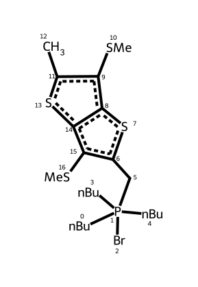 CCCCP(Br)(CCCC)(CCCC)Cc1sc2c(SC)c(C)sc2c1SC